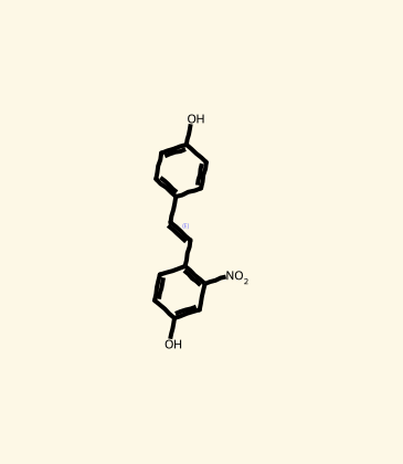 O=[N+]([O-])c1cc(O)ccc1/C=C/c1ccc(O)cc1